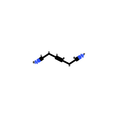 N#CCC#CCC#N